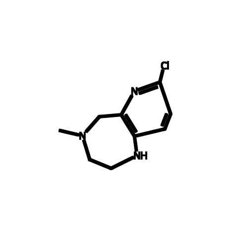 CN1CCNc2ccc(Cl)nc2C1